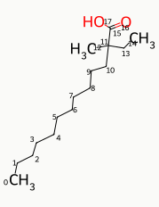 CCCCCCCCCCCC(C)(CC)C(=O)O